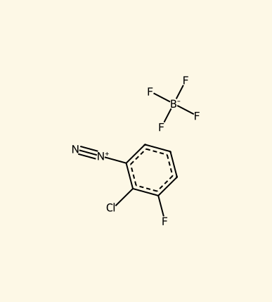 F[B-](F)(F)F.N#[N+]c1cccc(F)c1Cl